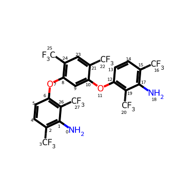 Nc1c(C(F)(F)F)ccc(Oc2cc(Oc3ccc(C(F)(F)F)c(N)c3C(F)(F)F)c(C(F)(F)F)cc2C(F)(F)F)c1C(F)(F)F